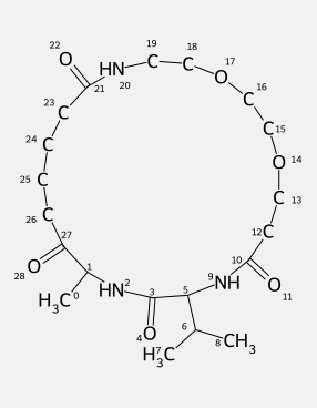 CC1NC(=O)C(C(C)C)NC(=O)CCOCCOCCNC(=O)CCCCC1=O